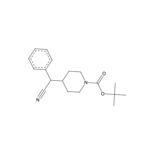 CC(C)(C)OC(=O)N1CCC(C(C#N)c2ccccc2)CC1